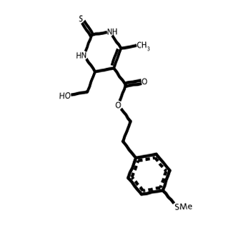 CSc1ccc(CCOC(=O)C2=C(C)NC(=S)NC2CO)cc1